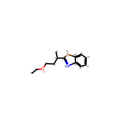 CCOCCC(C)c1nc2ccccc2s1